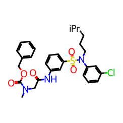 CC(C)CCCN(c1cccc(Cl)c1)S(=O)(=O)c1cccc(NC(=O)CN(C)C(=O)OCc2ccccc2)c1